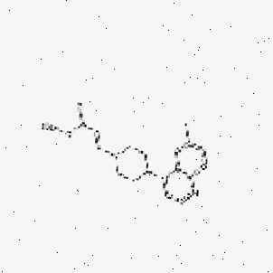 CC(C)(C)OC(=O)C=CC1CCC(c2ccnc3ccc(F)cc23)CC1